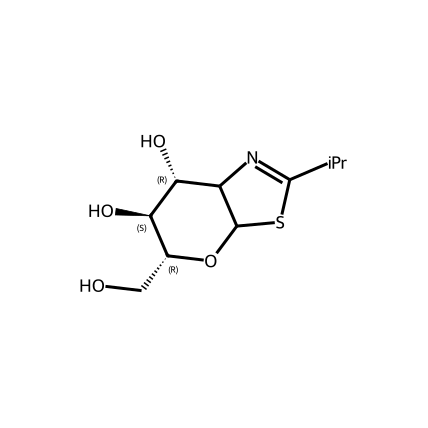 CC(C)C1=NC2C(O[C@H](CO)[C@@H](O)[C@@H]2O)S1